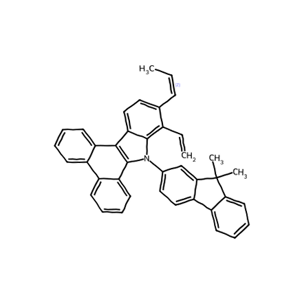 C=Cc1c(/C=C\C)ccc2c3c4ccccc4c4ccccc4c3n(-c3ccc4c(c3)C(C)(C)c3ccccc3-4)c12